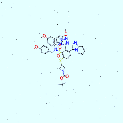 COc1ccc(CN(Cc2ccc(OC)cc2)S(=O)(=O)c2c(SC3CN(C(=O)OC(C)(C)C)C3)ccc(-c3cnc4ccccn34)c2-c2nnnn2Cc2ccc(OC)cc2)cc1